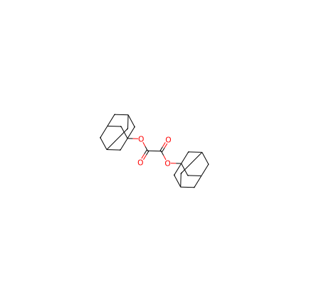 O=C(OC12CC3CC(CC(C3)C1)C2)C(=O)OC12CC3CC(CC(C3)C1)C2